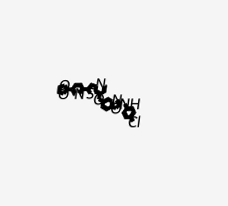 Clc1ccc(Nc2nc3cc(Oc4ccnc5cc(-c6ccc(C7OCCO7)cn6)sc45)ccc3o2)cc1